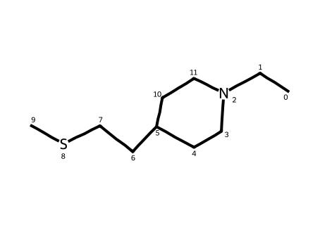 CCN1CCC(CCSC)CC1